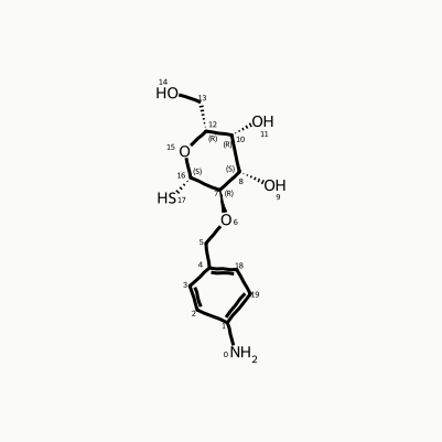 Nc1ccc(CO[C@@H]2[C@@H](O)[C@@H](O)[C@@H](CO)O[C@H]2S)cc1